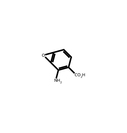 Nc1c(C(=O)O)ccc2c1O2